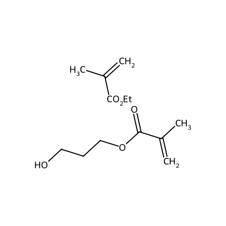 C=C(C)C(=O)OCC.C=C(C)C(=O)OCCCO